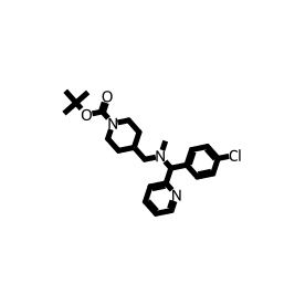 CN(CC1CCN(C(=O)OC(C)(C)C)CC1)C(c1ccc(Cl)cc1)c1ccccn1